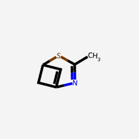 CC1=NC2=CC(C2)S1